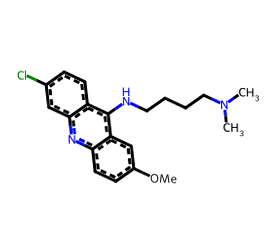 COc1ccc2nc3cc(Cl)ccc3c(NCCCCN(C)C)c2c1